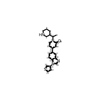 CC(C1CCCNC1)n1ccc(-c2ccc3c(c2)ncn3-c2ccsc2)cc1=O